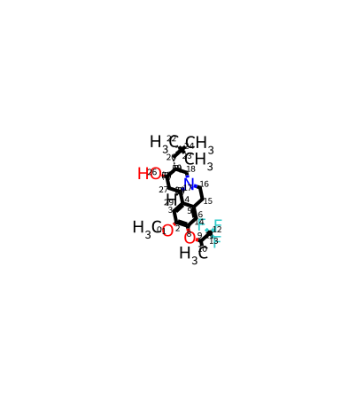 COc1cc2c(cc1OC(C)C(F)(F)F)CCN1C[C@@H](CC(C)(C)C)[C@H](O)C[C@H]21